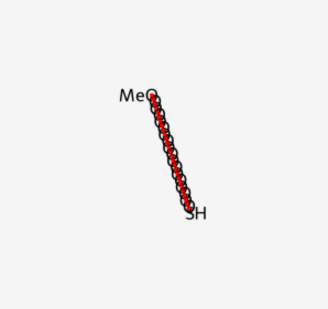 COCCOCCOCCOCCOCCOCCOCCOCCOCCOCCOCCOCCOCCOCCOCCOCCOCCOCCS